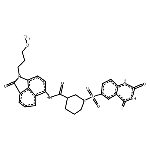 COCCCN1C(=O)c2cccc3c(NC(=O)C4CCCN(S(=O)(=O)c5ccc6[nH]c(=O)[nH]c(=O)c6c5)C4)ccc1c23